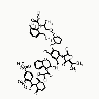 CC(C)=C1OC(=O)N(c2cc(OC3CCCC3)c(Cl)cc2F)C1=O.CC1COc2ccccc2N1C(=O)C(Cl)Cl.CCc1cccc(C)c1N(C(=O)CCl)C(C)COC.CS(=O)(=O)c1ccc(C(=O)C2C(=O)CCCC2=O)c([N+](=O)[O-])c1